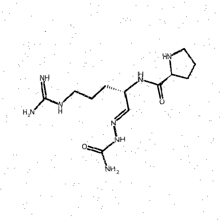 N=C(N)NCCC[C@@H](/C=N/NC(N)=O)NC(=O)[C@@H]1CCCN1